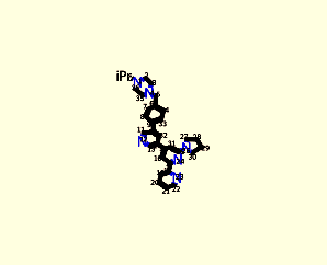 CC(C)N1CCN(Cc2ccc(-c3cncc(-c4cc(-c5ccccn5)nc(N5CCCC5)c4)c3)cc2)CC1